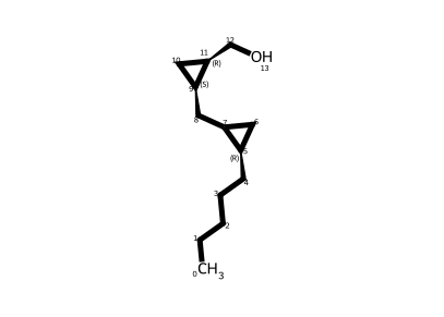 CCCCC[C@@H]1CC1C[C@H]1C[C@H]1CO